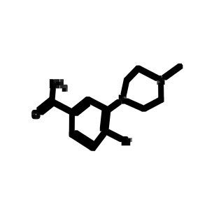 CN1CCN(c2cc(C(N)=O)ccc2Br)CC1